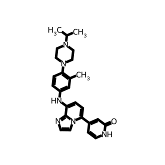 Cc1cc(Nc2ccc(-c3cc[nH]c(=O)c3)n3ccnc23)ccc1N1CCN(C(C)C)CC1